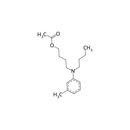 CCCCN(CCCCOC(C)=O)c1cccc(C)c1